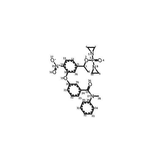 CC(OP(=O)(N1CC1)N1CC1)c1ccc([N+](=O)[O-])c(Oc2cccc(C(=O)N(C)c3ccccc3)c2)c1